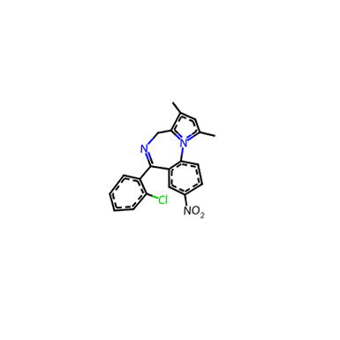 Cc1cc(C)n2c1CN=C(c1ccccc1Cl)c1cc([N+](=O)[O-])ccc1-2